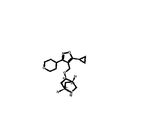 C1CC(c2noc(C3CC3)c2CO[C@@H]2C[C@@H]3C[C@H]2CN3)CCO1